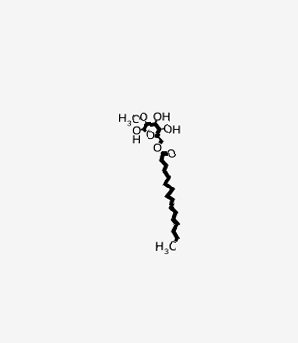 CCCCCCCCCCCCCCCC(=O)OC[C@H]1O[C@H](O)[C@H](OC)[C@@H](O)[C@@H]1O